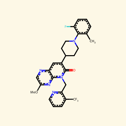 COc1cnc2cc(C3CCN(c4c(C)cccc4F)CC3)c(=O)n(Cc3ncccc3C(F)(F)F)c2n1